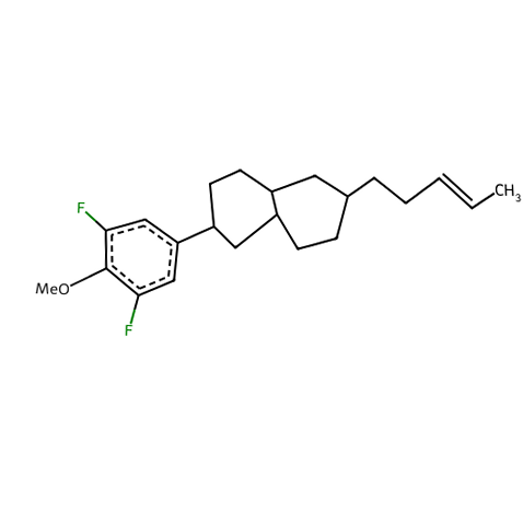 CC=CCCC1CCC2CC(c3cc(F)c(OC)c(F)c3)CCC2C1